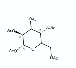 CC(=O)OCC1O[C@H](OC(C)=O)[C@@H](OC(C)=O)C(OC(C)=O)[C@@H]1OC(C)=O